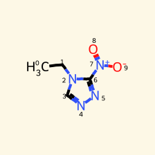 CCn1cnnc1[N+](=O)[O-]